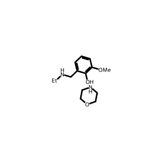 C1COCCN1.CCNCc1cccc(OC)c1O